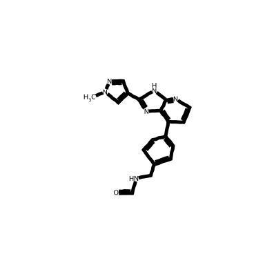 Cn1cc(-c2nc3c(-c4ccc(CNC=O)cc4)ccnc3[nH]2)cn1